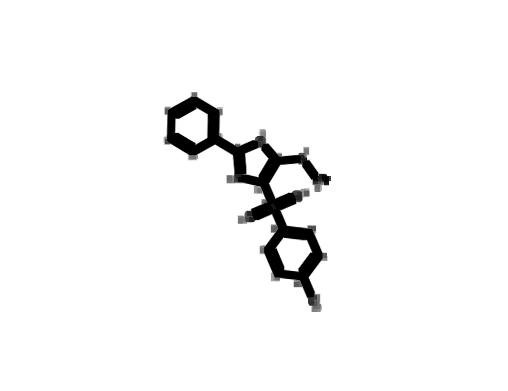 CCCSc1oc(-c2ccccc2)nc1S(=O)(=O)c1ccc(Cl)cc1